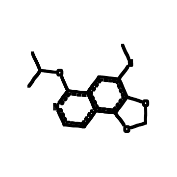 CSc1cc2c(OC(C)C)nccc2c2c1OCO2